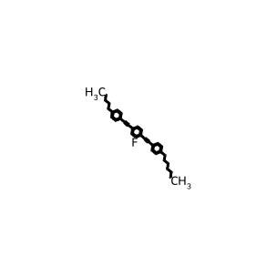 CCCCCCCc1ccc(C#Cc2ccc(C#Cc3ccc(CCCCC)cc3)cc2F)cc1